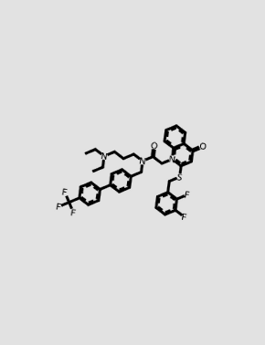 CCN(CC)CCCN(Cc1ccc(-c2ccc(C(F)(F)F)cc2)cc1)C(=O)Cn1c(SCc2cccc(F)c2F)cc(=O)c2ccccc21